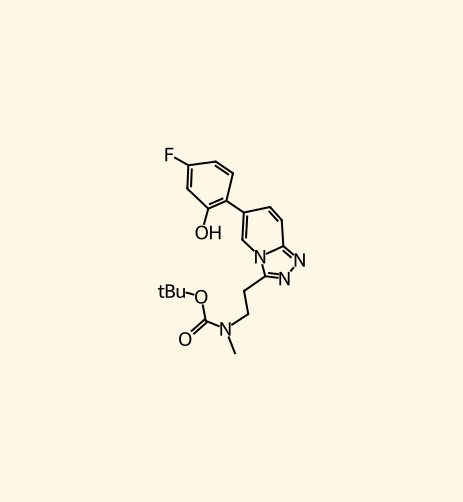 CN(CCc1nnc2ccc(-c3ccc(F)cc3O)cn12)C(=O)OC(C)(C)C